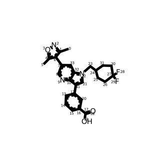 Cc1noc(C)c1-c1cnc2c(-c3cccc(C(=O)O)c3)cn(CC3CCC(F)(F)CC3)c2c1